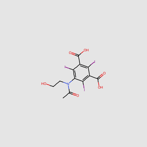 CC(=O)N(CCO)c1c(I)c(C(=O)O)c(I)c(C(=O)O)c1I